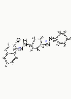 O=C1C=CC2C=CC=CC2/C1=N/Nc1ccc(/N=N/c2ccccc2)cc1